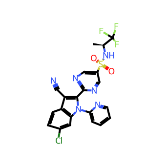 C[C@H](NS(=O)(=O)c1cnc(-c2c(C#N)c3ccc(Cl)cc3n2-c2ccccn2)nc1)C(F)(F)F